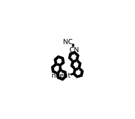 CCCCCc1cccc2cc3ccccc3cc12.N#CCC#N.c1ccc2c(c1)ccc1ccccc12